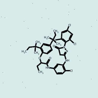 CCC(Oc1ccc(C(C)(C)CC)cc1C(C)(C)CC)C(=O)Nc1ccc(Cl)c(NC2=NN(c3c(Cl)cc(Cl)cc3Cl)C(=O)C2)c1